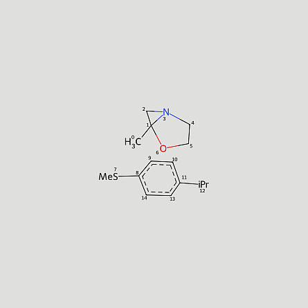 CC12CN1CCO2.CSc1ccc(C(C)C)cc1